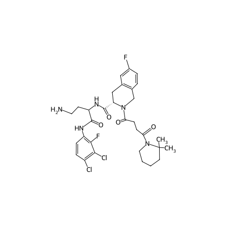 CC1(C)CCCCN1C(=O)CCC(=O)N1Cc2ccc(F)cc2C[C@H]1C(=O)NC(CCN)C(=O)Nc1ccc(Cl)c(Cl)c1F